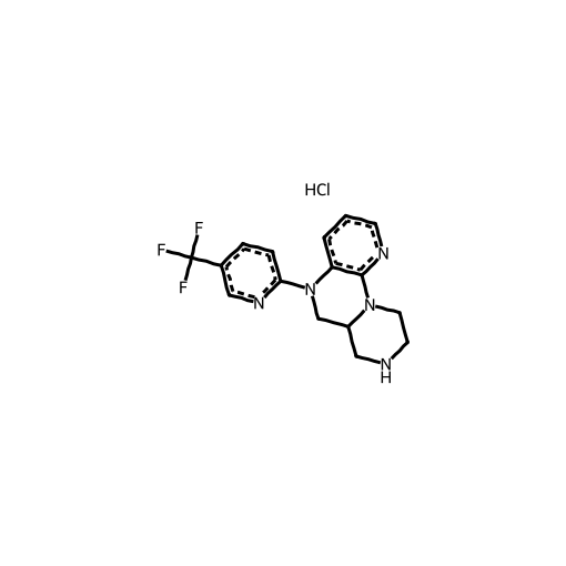 Cl.FC(F)(F)c1ccc(N2CC3CNCCN3c3ncccc32)nc1